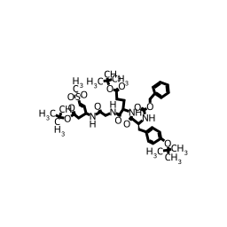 CC(C)(C)OC(=O)CCC(NC(=O)[C@H](Cc1ccc(OC(C)(C)C)cc1)NC(=O)OCc1ccccc1)C(=O)NCC(=O)NC(/C=C/S(C)(=O)=O)CC(=O)OC(C)(C)C